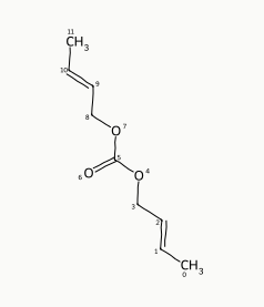 CC=CCOC(=O)OCC=CC